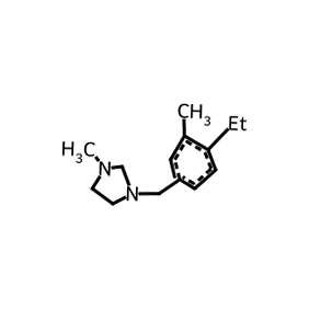 CCc1ccc(CN2CCN(C)C2)cc1C